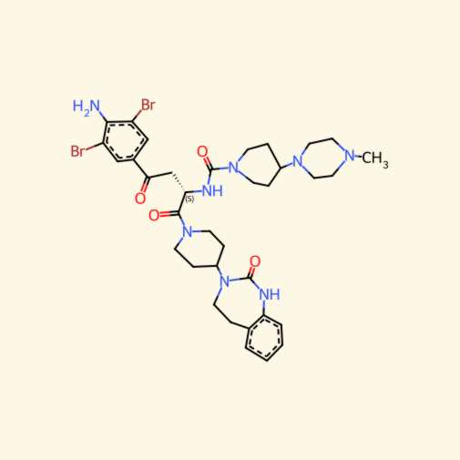 CN1CCN(C2CCN(C(=O)N[C@@H](CC(=O)c3cc(Br)c(N)c(Br)c3)C(=O)N3CCC(N4CCc5ccccc5NC4=O)CC3)CC2)CC1